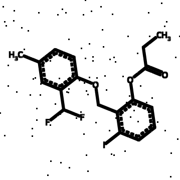 CCC(=O)Oc1cccc(I)c1COc1ccc(C)cc1C(F)F